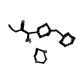 C1COCCN1.CCC(=O)C(N)c1ccc(Cc2ccccc2)cc1